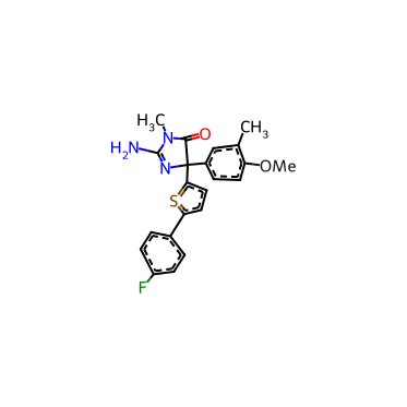 COc1ccc(C2(c3ccc(-c4ccc(F)cc4)s3)N=C(N)N(C)C2=O)cc1C